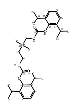 CC(C)c1cccc(C(C)C)c1OC(=O)OCC[N+](C)(C)COC(=O)Oc1c(C(C)C)cccc1C(C)C